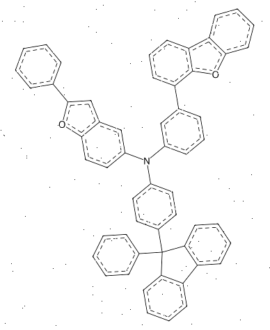 c1ccc(-c2cc3cc(N(c4ccc(C5(c6ccccc6)c6ccccc6-c6ccccc65)cc4)c4cccc(-c5cccc6c5oc5ccccc56)c4)ccc3o2)cc1